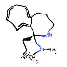 CCC1(N(C)C)NCCc2ccccc21